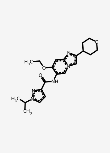 CCOc1cc2nc(C3CCOCC3)cn2cc1NC(=O)c1ccn(C(C)C)n1